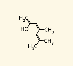 C=C(O)/C=C(/C)C=C(C)C